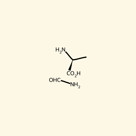 C[C@H](N)C(=O)O.NC=O